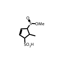 COS(=O)C1C=CC(S(=O)(=O)O)C1C